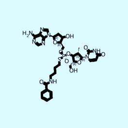 C[C@H]1C(OP(=O)(OC[C@H]2O[C@@H](n3cnc4c(N)ncnc43)CC2O)SCCCCNC(=O)c2ccccc2)[C@@H](CO)O[C@H]1n1ccc(=O)[nH]c1=O